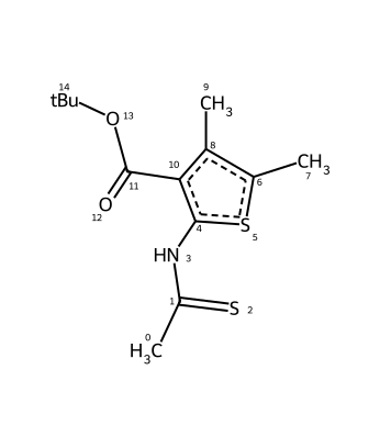 CC(=S)Nc1sc(C)c(C)c1C(=O)OC(C)(C)C